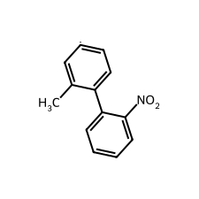 Cc1c[c]ccc1-c1ccccc1[N+](=O)[O-]